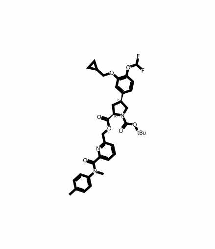 Cc1ccc(N(C)C(=O)c2cccc(COC(=O)[C@H]3C[C@@H](c4ccc(OC(F)F)c(OCC5CC5)c4)CN3C(=O)OC(C)(C)C)n2)cc1